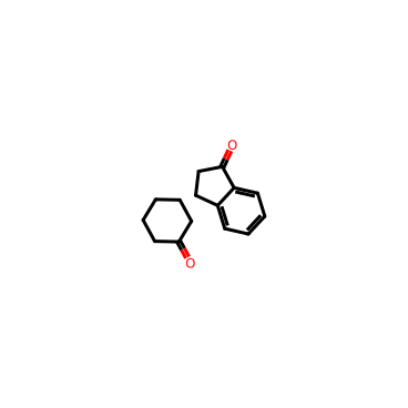 O=C1CCCCC1.O=C1CCc2ccccc21